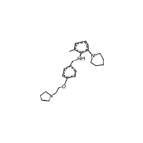 Cc1cccc(N2CCCCC2)c1NCc1ccc(OCCN2CCCC2)cc1